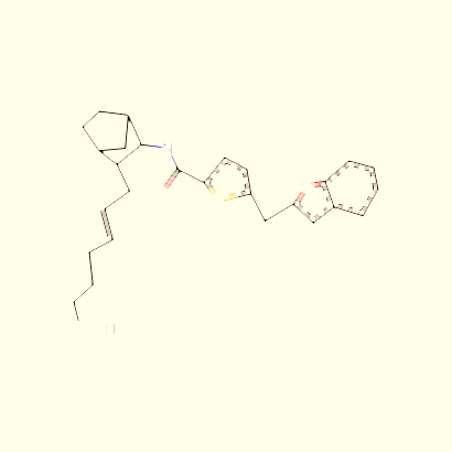 O=C(O)CCC/C=C/CC1C2CCC(C2)C1NC(=O)c1ccc(Cc2cc3ccccc3o2)s1